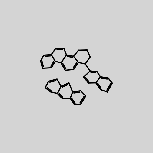 c1ccc2cc(C3CCCc4c3ccc3c4ccc4ccccc43)ccc2c1.c1ccc2cc3ccccc3cc2c1